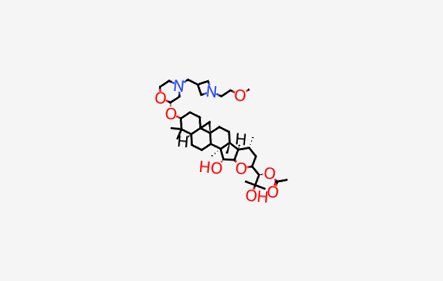 COCCN1CC(CN2CCO[C@@H](O[C@H]3CCC45C[C@]46CC[C@]4(C)[C@@H]7C(OC([C@H](OC(C)=O)C(C)(C)O)C[C@H]7C)[C@H](O)[C@@]4(C)C6CC[C@H]5C3(C)C)C2)C1